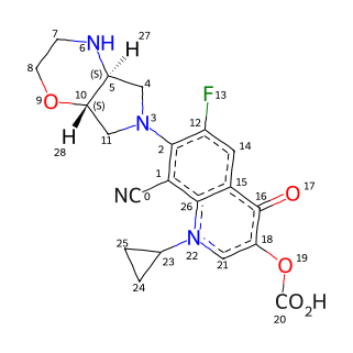 N#Cc1c(N2C[C@@H]3NCCO[C@H]3C2)c(F)cc2c(=O)c(OC(=O)O)cn(C3CC3)c12